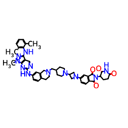 Cc1cccc(C)c1Nc1nn(C)c2nc(Nc3ccc4c(c3)CN(CC3CCN(C5CN(c6ccc7c(c6)C(=O)N(C6CCC(=O)NC6=O)C7=O)C5)CC3)CC4)ncc12